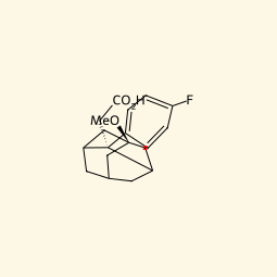 CO[C@]12CC3CC(C1)[C@](CC(=O)O)(c1ccc(F)cc1)C(C3)C2